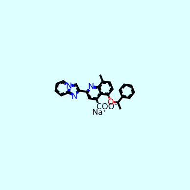 Cc1ccc(OC(C)c2ccccc2)c2c(C(=O)[O-])cc(-c3cn4ccccc4n3)nc12.[Na+]